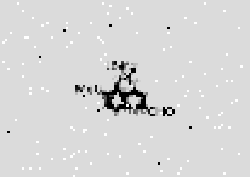 COc1ccc2nc(C=O)ccc2c1O[Si](C)(C)C(C)(C)C